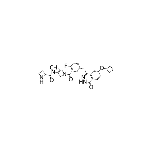 CN(C(=O)C1CCN1)C1CN(C(=O)c2cc(Cc3n[nH]c(=O)c4ccc(OC5CCC5)cc34)ccc2F)C1